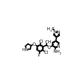 CC(Oc1cc(-c2cnn(C)c2)cnc1N)c1c(Cl)c(F)cc(OC2CCNC2)c1Cl